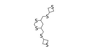 C1SC(CSC2CSC2)CC(CSC2CSC2)S1